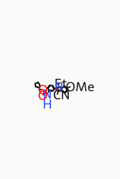 CCn1c(-c2cccc(NC(=O)OCC3CCCC3)c2)c(C#N)c2ccc(OC)cc21